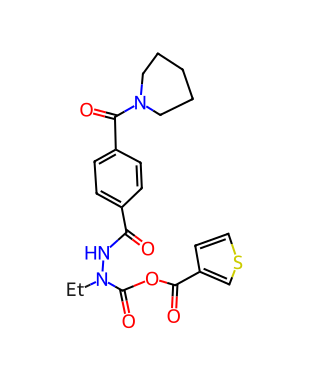 CCN(NC(=O)c1ccc(C(=O)N2CCCCC2)cc1)C(=O)OC(=O)c1ccsc1